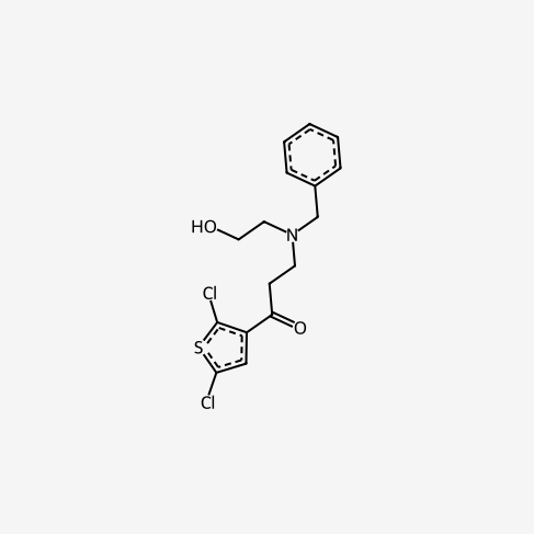 O=C(CCN(CCO)Cc1ccccc1)c1cc(Cl)sc1Cl